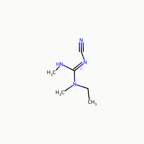 CCN(C)/C(=N/C#N)NC